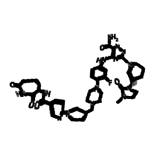 CN1CCN([C@@H]2CCCN(c3nnc(C(N)=O)c(Nc4ccc(N5CCN(CC6CCN(c7ccc(C(=O)NC8CCC(=O)NC8=O)cn7)C6)CC5)c(F)c4)n3)C2)C1=O